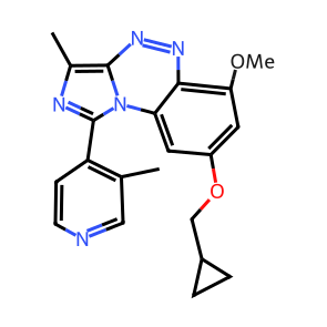 COc1cc(OCC2CC2)cc2c1nnc1c(C)nc(-c3ccncc3C)n12